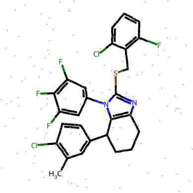 Cc1cc(C2CCCc3nc(SCc4c(F)cccc4Cl)n(-c4cc(F)c(F)c(F)c4)c32)ccc1Cl